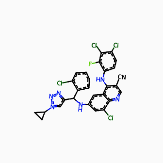 N#Cc1cnc2c(Cl)cc(NC(c3cn(C4CC4)nn3)c3ccccc3Cl)cc2c1Nc1ccc(Cl)c(Cl)c1F